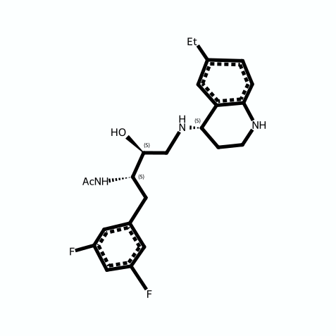 CCc1ccc2c(c1)[C@@H](NC[C@H](O)[C@H](Cc1cc(F)cc(F)c1)NC(C)=O)CCN2